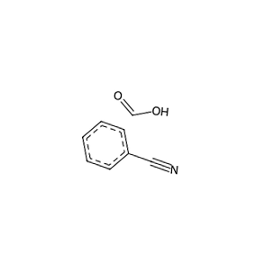 N#Cc1ccccc1.O=CO